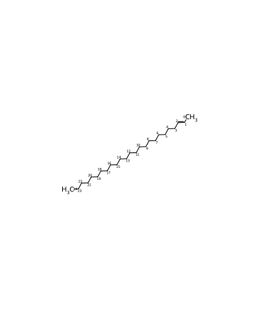 CC=CCCCCCCCCCCCCCCCCCCCCCC